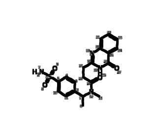 CC(c1ccc(S(N)(=O)=O)cc1)N(C)C(=O)CCc1nc2ccccc2c(=O)[nH]1